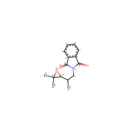 CCC(CN1C(=O)c2ccccc2C1=O)C1OC1(CC)CC